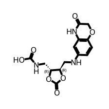 O=C(O)NC[C@H]1OC(=O)O[C@@H]1CNc1ccc2c(c1)NC(=O)CO2